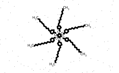 CCCCCCCCCCCCC1CCC(COc2c(OCC3CCC(CCCCCCCCCCCC)CC3)c(OCC3CCC(CCCCCCCCCCCC)CC3)c(OCC3CCC(CCCCCCCCCCCC)CC3)c(OCC3CCC(CCCCCCCCCCCC)CC3)c2OCC2CCC(CCCCCCCCCCCC)CC2)CC1